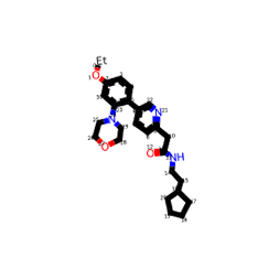 CCOc1ccc(-c2ccc(CC(=O)NCCC3CCCC3)nc2)c(N2CCOCC2)c1